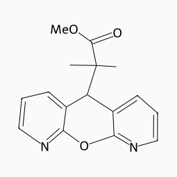 COC(=O)C(C)(C)C1c2cccnc2Oc2ncccc21